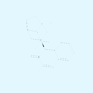 CCOC(=O)c1nc2ccccc2n([C@H]2C[C@H]3CC[C@@H](C2)N3B(C)O)c1=O